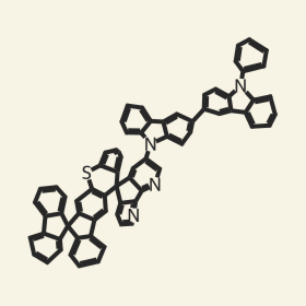 c1ccc(-n2c3ccccc3c3cc(-c4ccc5c(c4)c4ccccc4n5-c4cnc5c(c4)C4(c6ccccc6Sc6cc7c(cc64)-c4ccccc4C74c6ccccc6-c6ccccc64)c4cccnc4-5)ccc32)cc1